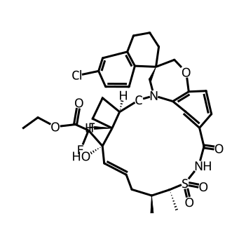 CCOC(=O)C(F)(F)[C@]1(O)/C=C/C[C@H](C)[C@@H](C)S(=O)(=O)NC(=O)c2ccc3c(c2)N(C[C@@H]2CC[C@H]21)C[C@@]1(CCCc2cc(Cl)ccc21)CO3